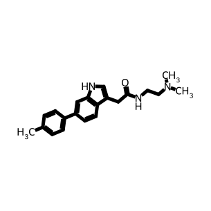 Cc1ccc(-c2ccc3c(CC(=O)NCCN(C)C)c[nH]c3c2)cc1